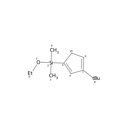 CCO[Si](C)(C)C1=CC(C(C)(C)C)=CC1